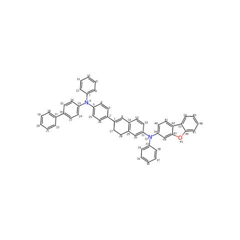 C1=C(c2ccc(N(c3ccccc3)c3ccc(-c4ccccc4)cc3)cc2)CCc2cc(N(c3ccccc3)c3ccc4c(c3)oc3ccccc34)ccc21